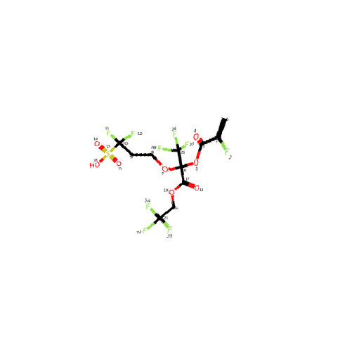 C=C(F)C(=O)OC(OCCC(F)(F)S(=O)(=O)O)(C(=O)OCC(F)(F)F)C(F)(F)F